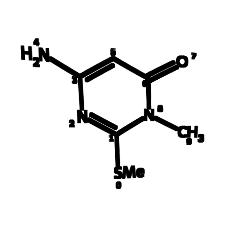 CSc1nc(N)cc(=O)n1C